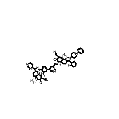 C[C@H]1C(=O)C(C#N)=C[C@@]2(C)c3c(c(-c4ccncn4)nn3-c3ccc(-c4cnnc(CC[C@H]5C(=O)C(C#N)=C[C@@]6(C)c7nn(C8CCN(c9ccccc9)CC8)c(-c8ccccc8F)c7CC[C@H]56)c4)cc3)CC[C@H]12